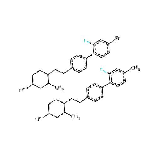 CCCC1CCC(CCc2ccc(-c3ccc(C)cc3F)cc2)C(C)C1.CCCC1CCC(CCc2ccc(-c3ccc(CC)cc3F)cc2)C(C)C1